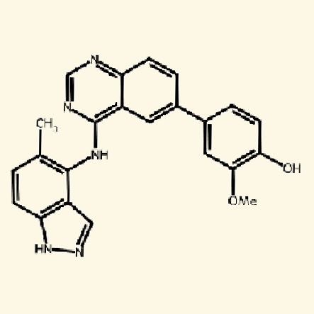 COc1cc(-c2ccc3ncnc(Nc4c(C)ccc5[nH]ncc45)c3c2)ccc1O